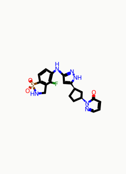 O=c1cccnn1[C@H]1CC[C@@H](c2cc(Nc3ccc4c(c3F)CNS4(=O)=O)n[nH]2)C1